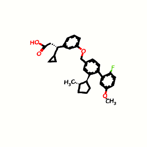 COc1ccc(F)c(-c2ccc(COc3cccc([C@@H](CC(=O)O)C4CC4)c3)cc2[C@H]2CCC[C@@H]2C)c1